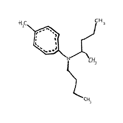 [CH2]c1ccc(N(CCCC)C(C)CCC)cc1